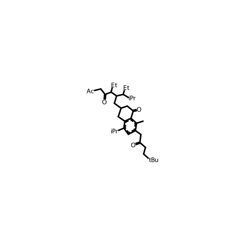 CCC(C(=O)CC(C)=O)C(CC1CC(=O)c2c(C)c(CC(=O)CCC(C)(C)C)cc(C(C)C)c2C1)C(CC)C(C)C